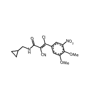 COc1cc(/C(Cl)=C(\C#N)C(=O)NCC2CC2)cc([N+](=O)[O-])c1OC